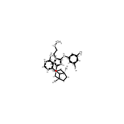 COCCn1nc(NC2[C@@H]3CC[C@@H]2CN(c2cc(C)ncn2)C3)nc1Oc1cc(F)cc(Cl)c1